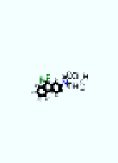 O=CN(CC(=O)O)c1ccc2c(c1)C(F)(F)c1ccccc1-2